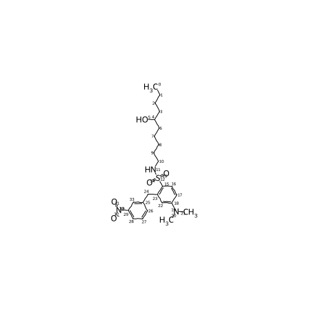 CCCCC(O)CCCCCNS(=O)(=O)c1ccc(N(C)C)cc1Cc1cccc([N+](=O)[O-])c1